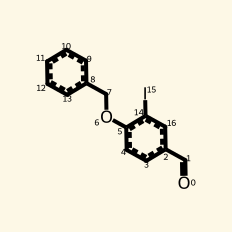 O=Cc1ccc(OCc2ccccc2)c(I)c1